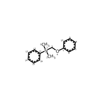 C[Si](C)(COc1[c]cccc1)c1ccccc1